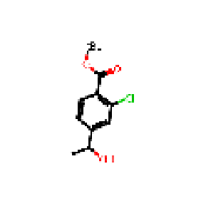 CC(O)c1ccc(C(=O)OC(C)(C)C)c(Cl)c1